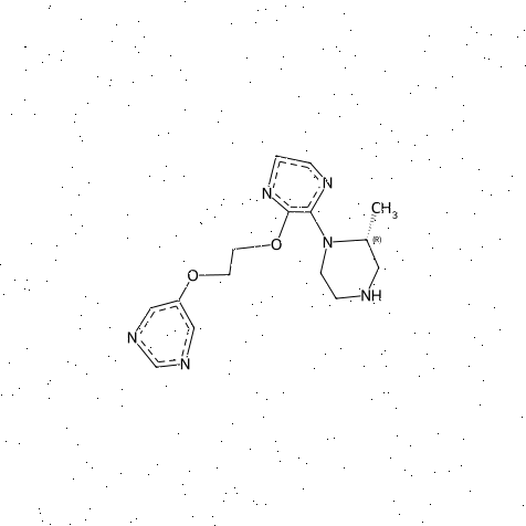 C[C@@H]1CNCCN1c1nccnc1OCCOc1cncnc1